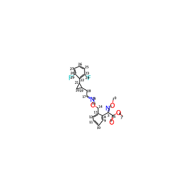 CON=C(C(=O)OC)c1ccccc1CON=CCC1CC1c1c(F)cccc1F